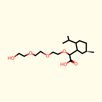 CC(C)C1CC[C@@H](C)CC1C(OCCOCCOCCO)C(=O)O